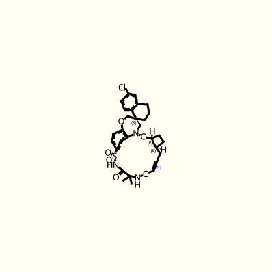 CC1(C)NC/C=C/[CH][C@@H]2CC[C@H]2CN2C[C@@]3(CCCc4cc(Cl)ccc43)COc3ccc(cc32)S(=O)(=O)NC1=O